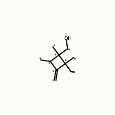 C=C1C(C)C(C)(CO)C1(C)C